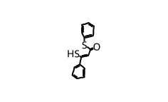 O=C(/C=C(\S)c1ccccc1)Sc1ccccc1